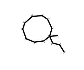 CC[CH]C1(C)CCCCCCCCC1